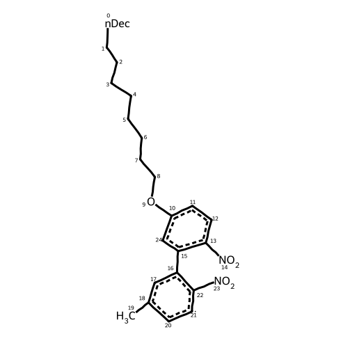 CCCCCCCCCCCCCCCCCCOc1ccc([N+](=O)[O-])c(-c2cc(C)c[c]c2[N+](=O)[O-])c1